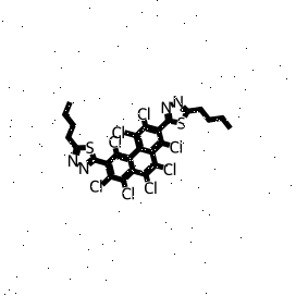 CCCCc1nnc(-c2c(Cl)c(Cl)c3c(c2Cl)c(Cl)c(Cl)c2c(Cl)c(Cl)c(-c4nnc(CCCC)s4)c(Cl)c23)s1